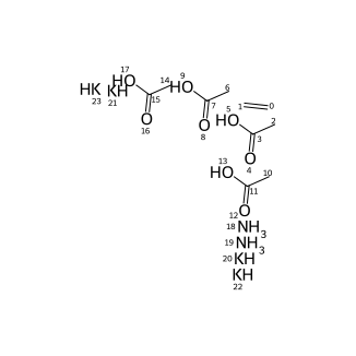 C=C.CC(=O)O.CC(=O)O.CC(=O)O.CC(=O)O.N.N.[KH].[KH].[KH].[KH]